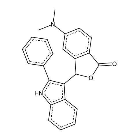 CN(C)c1ccc2c(c1)C(c1c(-c3ccccc3)[nH]c3ccccc13)OC2=O